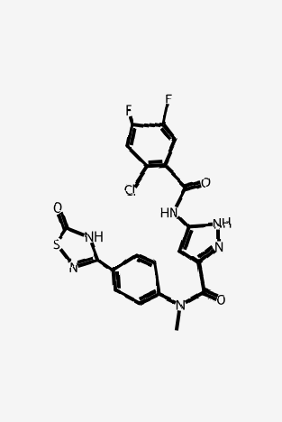 CN(C(=O)c1cc(NC(=O)c2cc(F)c(F)cc2Cl)[nH]n1)c1ccc(-c2nsc(=O)[nH]2)cc1